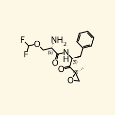 C[C@]1(C(=O)[C@H](Cc2ccccc2)NC(=O)[C@@H](N)COC(F)F)CO1